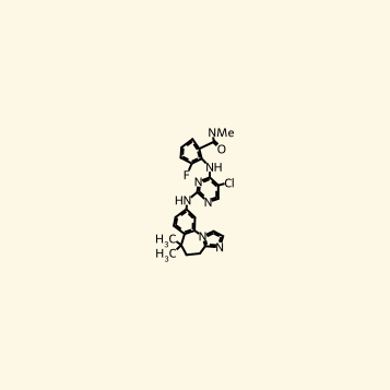 CNC(=O)c1cccc(F)c1Nc1nc(Nc2ccc3c(c2)-n2ccnc2CCC3(C)C)ncc1Cl